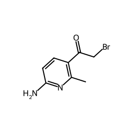 Cc1nc(N)ccc1C(=O)CBr